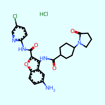 Cl.Nc1ccc2oc(C(=O)Nc3ccc(Cl)cn3)c(NC(=O)C3CCC(N4CCCC4=O)CC3)c2c1